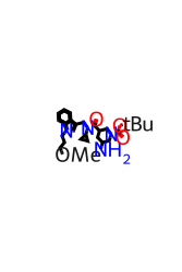 COCCCn1cc(CN(C(=O)C2CC(N)CN(C(=O)OC(C)(C)C)C2)C2CC2)c2ccccc21